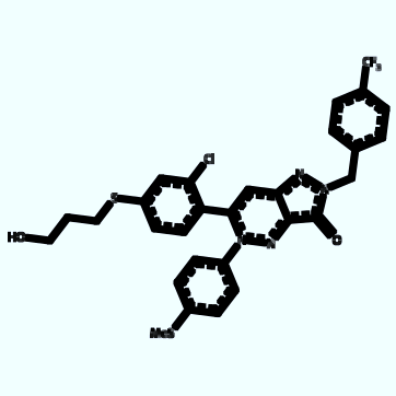 CSc1ccc(-n2nc3c(=O)n(Cc4ccc(C(F)(F)F)cc4)nc-3cc2-c2ccc(SCCCO)cc2Cl)cc1